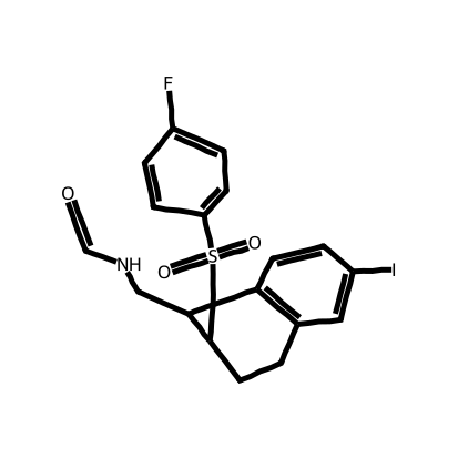 O=CNCC1C2CCc3cc(I)ccc3C21S(=O)(=O)c1ccc(F)cc1